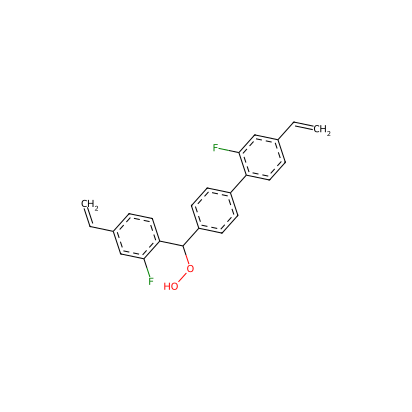 C=Cc1ccc(-c2ccc(C(OO)c3ccc(C=C)cc3F)cc2)c(F)c1